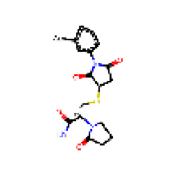 CC(=O)c1cccc(N2C(=O)CC(SC[C@@H](C(N)=O)N3CCCC3=O)C2=O)c1